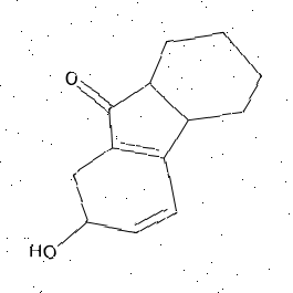 O=C1C2=C(C=CC(O)C2)C2CCCCC12